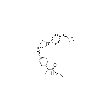 CCNC(=O)C(C)c1ccc(O[C@@H]2CCN(c3ccc(OC4CCC4)cc3)C2)cc1